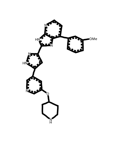 COc1cccc(-c2ccnc3[nH]c(-c4cc(-c5cncc(OC6CCNCC6)c5)[nH]n4)nc23)c1